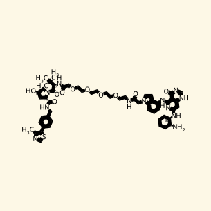 Cc1ncsc1-c1ccc(CNC(=O)[C@@H]2C[C@@H](O)CN2C(=O)[C@@H](NC(=O)COCCOCCOCCOCCNC(=O)Cn2ccc3c(Nc4nc(N[C@@H]5CCCC[C@@H]5N)cc5[nH]cnc(=O)c45)cccc32)C(C)(C)C)cc1